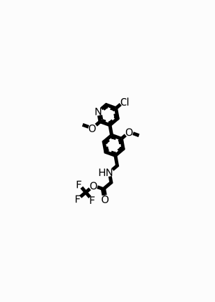 COc1cc(CNCC(=O)OC(F)(F)F)ccc1-c1cc(Cl)cnc1OC